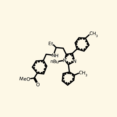 CCCCn1c(-c2ccccc2C)nc(-c2ccc(C)cc2)c1CC(CC)NCc1ccc(C(=O)OC)cc1